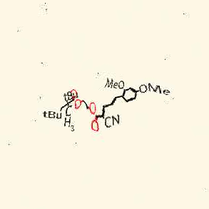 COc1ccc(/C=C/C=C(\C#N)C(=O)OCCOC(=O)C(C)(CC(C)(C)C)C(C)(C)C)c(OC)c1